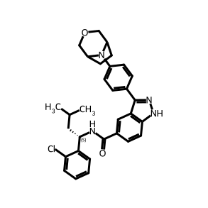 CC(C)C[C@H](NC(=O)c1ccc2[nH]nc(-c3ccc(N4C5CCC4COC5)cc3)c2c1)c1ccccc1Cl